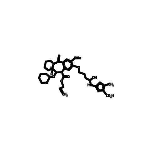 C=CCOC(=O)N1c2cc(OCCCC(O)Nc3cn(C)c(C(=O)O)n3)c(OC)cc2C(=O)N2CCCC[C@H]2C1OC1CCCCO1